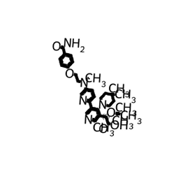 Cc1ncc(-c2ccc(N(C)CCOc3ccc(C(N)=O)cc3)cn2)c(N2CCC(C)(C)CC2)c1[C@H](OC(C)(C)C)C(=O)O